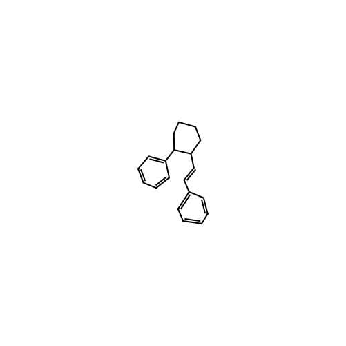 C(=CC1CCCCC1c1ccccc1)c1ccccc1